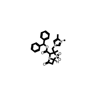 Cc1cn(CC2(C)C(C(=O)OC(c3ccccc3)c3ccccc3)N3C(=O)C[C@H]3S2(=O)=O)c[n+]1C